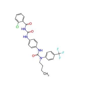 CCCCN(C(=O)Nc1ccc(NC(=O)NC(=O)c2ccccc2Cl)cc1)c1ccc(C(F)(F)F)cc1